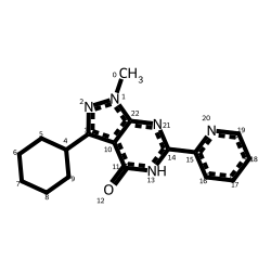 Cn1nc(C2CCCCC2)c2c(=O)[nH]c(-c3ccccn3)nc21